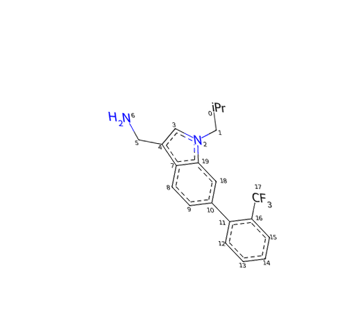 CC(C)Cn1cc(CN)c2ccc(-c3ccccc3C(F)(F)F)cc21